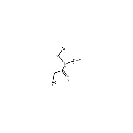 CC(=O)CC(=O)N(C=O)CC(C)=O